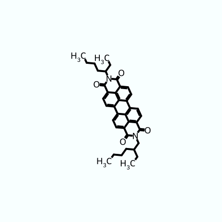 CCCCC(CC)CN1C(=O)c2ccc3c4ccc5c6c(ccc(c7ccc(c2c37)C1=O)c64)C(=O)N(C(CC)CCCC)C5=O